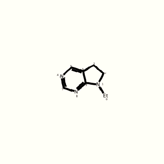 CCN1CCc2cncnc21